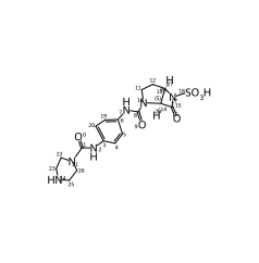 O=C(Nc1ccc(NC(=O)N2CC[C@@H]3[C@H]2C(=O)N3S(=O)(=O)O)cc1)N1CCNCC1